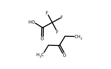 CCC(=O)CC.O=C(O)C(F)(F)F